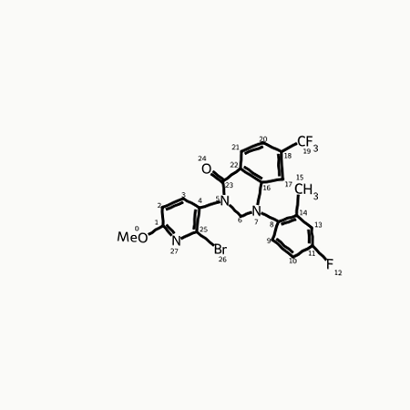 COc1ccc(N2CN(c3ccc(F)cc3C)c3cc(C(F)(F)F)ccc3C2=O)c(Br)n1